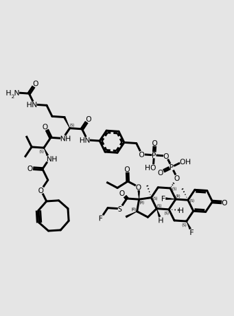 CCC(=O)O[C@]1(C(=O)SCF)[C@H](C)C[C@H]2[C@@H]3C[C@H](F)C4=CC(=O)C=C[C@]4(C)[C@@]3(F)[C@@H](OP(=O)(O)OP(=O)(O)OCc3ccc(NC(=O)[C@H](CCCNC(N)=O)NC(=O)[C@@H](NC(=O)COC4C#CCCCCC4)C(C)C)cc3)C[C@@]21C